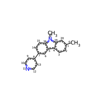 Cc1ccc2c3cc(-c4ccncc4)ccc3n(C)c2c1